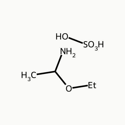 CCOC(C)N.O=S(=O)(O)O